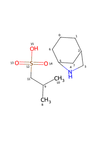 C1CC2CNC(C1)C2.CC(C)CS(=O)(=O)O